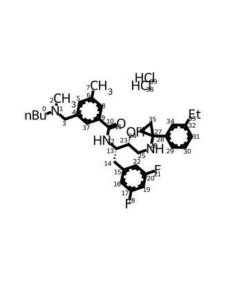 CCCCN(C)Cc1cc(C)cc(C(=O)N[C@@H](Cc2cc(F)cc(F)c2)[C@H](O)CNC2(c3cccc(CC)c3)CC2)c1.Cl.Cl